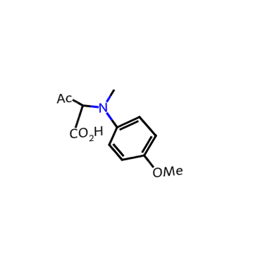 COc1ccc(N(C)C(C(C)=O)C(=O)O)cc1